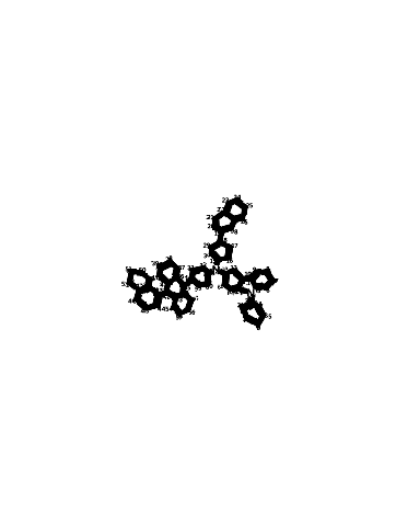 c1ccc(-n2c3ccccc3c3cc(N(c4ccc(-c5ccc6ccccc6c5)cc4)c4ccc(-c5c6ccccc6c(-c6cccc7c6CCCC7)c6ccccc56)cc4)ccc32)cc1